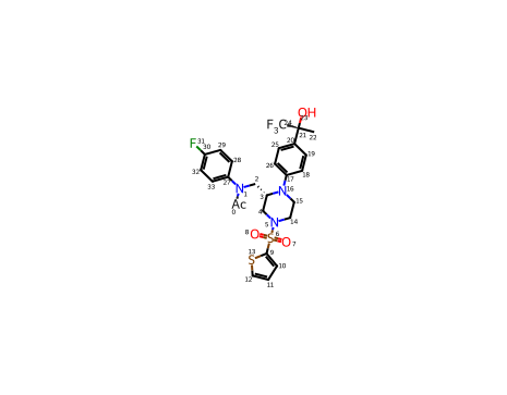 CC(=O)N(C[C@H]1CN(S(=O)(=O)c2cccs2)CCN1c1ccc([C@@](C)(O)C(F)(F)F)cc1)c1ccc(F)cc1